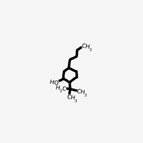 CCCCC1CCC(C(C)(C)C)C(O)C1